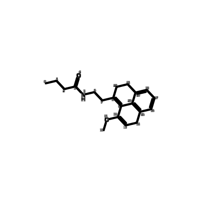 CCCC(=O)NCCC1=C2C(OC)=CCc3cccc(c32)CC1